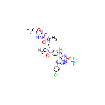 Cc1cc(NC(=O)C(=O)N(C)CCCN(C)C(=O)c2ccc(Nc3nc(NC4(c5ccc(Cl)cc5)CC4)nc(OCC(F)(F)F)n3)cc2)no1